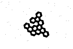 c1ccc2c(c1)cc1ccc3cc4c5ccccc5cc5c6ccc7c8ccccc8c8ccccc8c7c6c6cc2c1c3c6c45